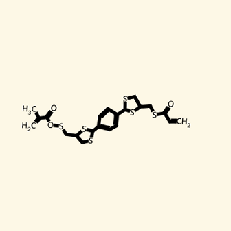 C=CC(=O)SCC1CSC(c2ccc(C3SCC(CSOC(=O)C(=C)C)S3)cc2)S1